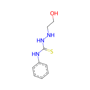 OCCNNC(=S)Nc1ccccc1